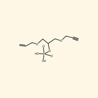 C#CCOCC(COCC=C)OP(O)(O)(Cl)Cl